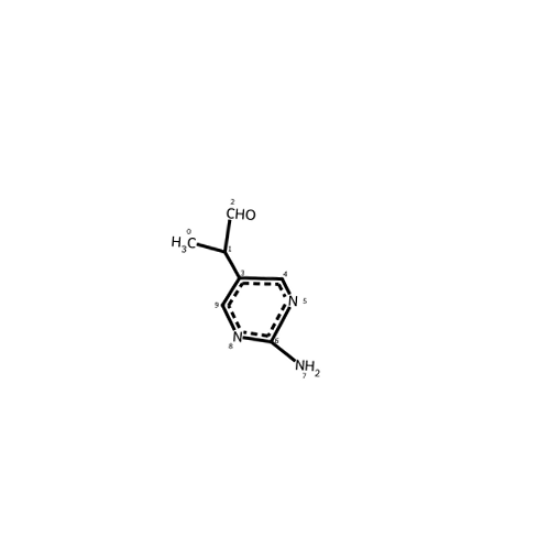 CC(C=O)c1cnc(N)nc1